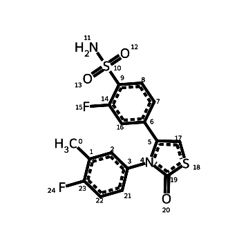 Cc1cc(-n2c(-c3ccc(S(N)(=O)=O)c(F)c3)csc2=O)ccc1F